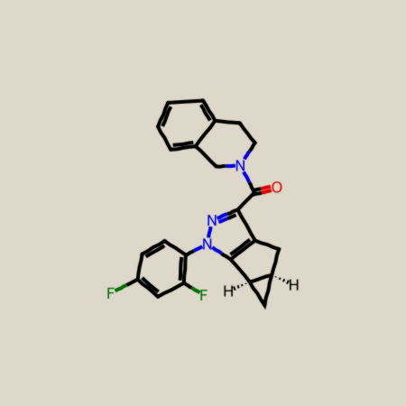 O=C(c1nn(-c2ccc(F)cc2F)c2c1C[C@H]1C[C@@H]21)N1CCc2ccccc2C1